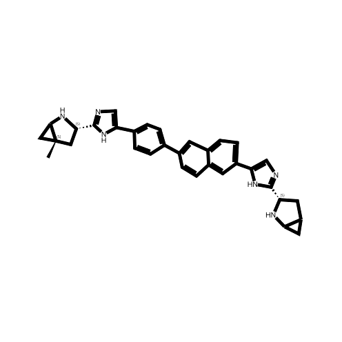 C[C@@]12CC1N[C@H](c1ncc(-c3ccc(-c4ccc5cc(-c6cnc([C@@H]7CC8CC8N7)[nH]6)ccc5c4)cc3)[nH]1)C2